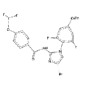 COc1cc(F)c(-n2cc(C(C)C)nc2NC(=O)c2ccc(OC(F)F)cc2)c(F)c1